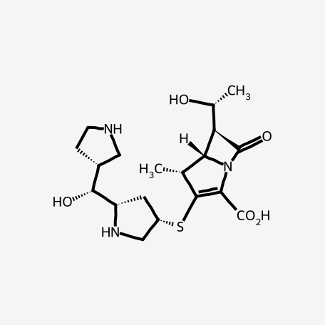 C[C@@H](O)[C@H]1C(=O)N2C(C(=O)O)=C(S[C@@H]3CN[C@H]([C@H](O)[C@@H]4CCNC4)C3)[C@H](C)[C@H]12